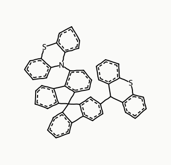 c1ccc2c(c1)Sc1ccccc1C2c1ccc2c(c1)C1(c3ccccc3-2)c2ccccc2-c2c(N3c4ccccc4Sc4ccccc43)cccc21